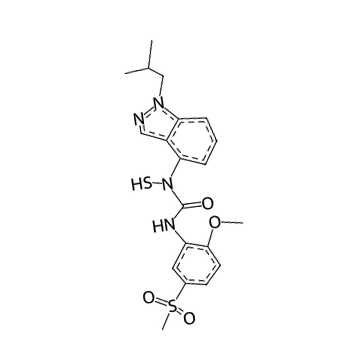 COc1ccc(S(C)(=O)=O)cc1NC(=O)N(S)c1cccc2c1cnn2CC(C)C